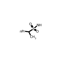 CCCC(C)S([NH])(=O)=O